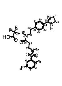 Cc1ccc(F)cc1S(=O)(=O)N(C)CCC(=O)N(C)CCc1ccc(C2=NCCN2)cc1.O=C(O)C(F)(F)F